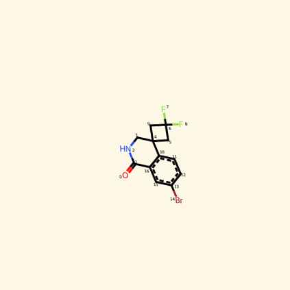 O=C1NCC2(CC(F)(F)C2)c2ccc(Br)cc21